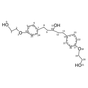 OCCOc1ccc(CCC(O)CCc2ccc(OCCO)cc2)cc1